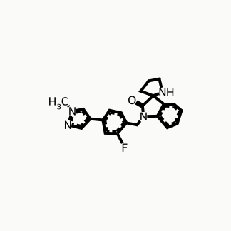 Cn1cc(-c2ccc(CN3C(=O)C4(CCCN4)c4ccccc43)c(F)c2)cn1